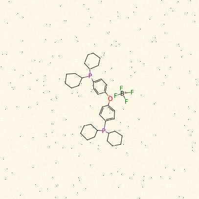 F[B-](F)(F)F.c1cc(P(C2CCCCC2)C2CCCCC2)ccc1Oc1ccc(P(C2CCCCC2)C2CCCCC2)cc1